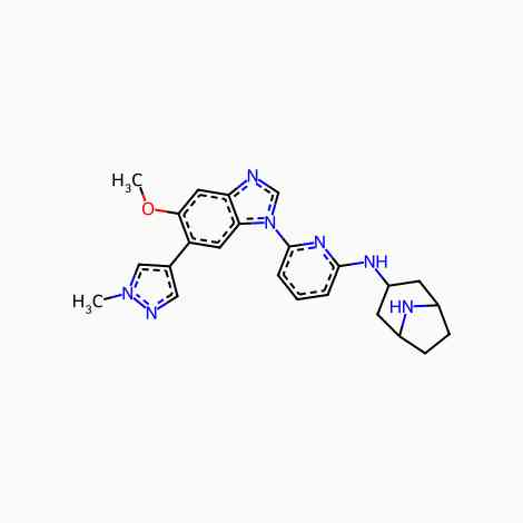 COc1cc2ncn(-c3cccc(NC4CC5CCC(C4)N5)n3)c2cc1-c1cnn(C)c1